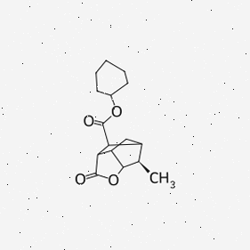 C[C@@H]1C2CC3C(C(=O)OC31)C2C(=O)OC1CCCCC1